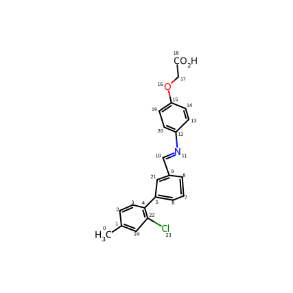 Cc1ccc(-c2cccc(C=Nc3ccc(OCC(=O)O)cc3)c2)c(Cl)c1